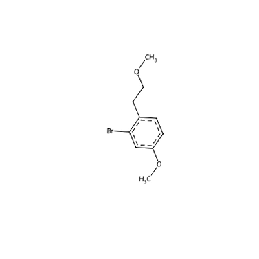 COCCc1ccc(OC)cc1Br